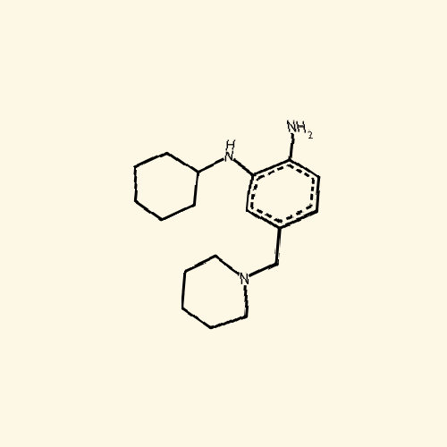 Nc1ccc(CN2CCCCC2)cc1NC1CCCCC1